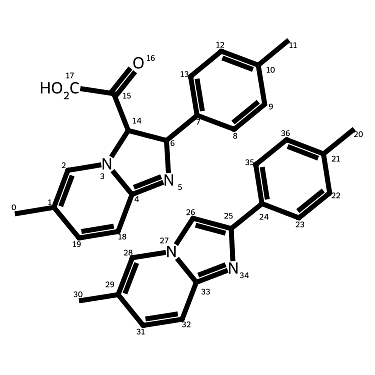 CC1=CN2C(=NC(c3ccc(C)cc3)C2C(=O)C(=O)O)C=C1.Cc1ccc(-c2cn3cc(C)ccc3n2)cc1